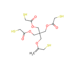 C=C(CS)OCC(COC(=O)CS)(COC(=O)CS)COC(=O)CS